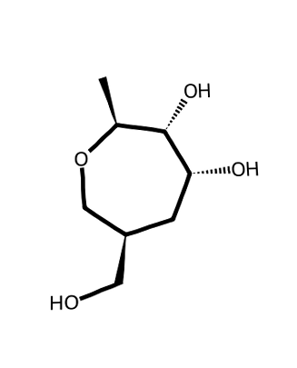 C[C@@H]1OC[C@H](CO)C[C@@H](O)[C@H]1O